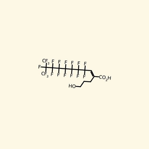 O=C(O)C(=CC(F)(F)C(F)(F)C(F)(F)C(F)(F)C(F)(F)C(F)(F)C(F)(C(F)(F)F)C(F)(F)F)CCCO